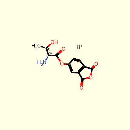 C[C@@H](O)[C@H](N)C(=O)Oc1ccc2c(c1)C(=O)OC2=O.[H+]